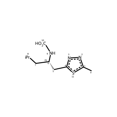 Cc1nnc(C[C@H](CC(C)C)NC(=O)O)s1